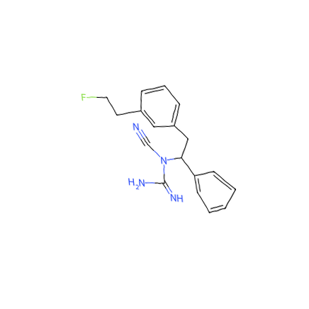 N#CN(C(=N)N)C(Cc1cccc(CCF)c1)c1ccccc1